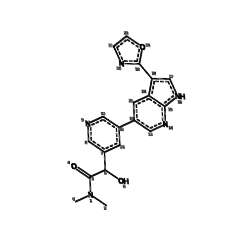 CN(C)C(=O)C(O)c1cncc(-c2cnc3[nH]cc(-c4ncco4)c3c2)c1